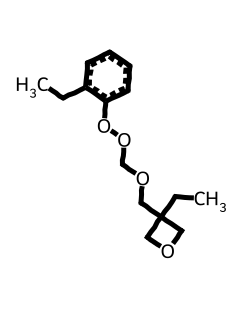 CCc1ccccc1OOCOCC1(CC)COC1